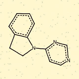 c1ccc2c(c1)CCN2c1ccncn1